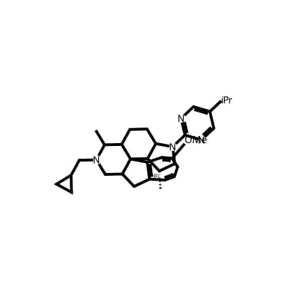 COC1=CC2=C(C=CC1)CC1CN(CC3CC3)C(C)C3CCC4C([C@@H](C)CN4c4ncc(C(C)C)cn4)C213